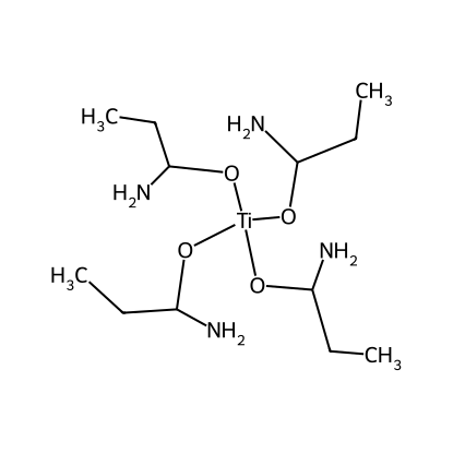 CCC(N)[O][Ti]([O]C(N)CC)([O]C(N)CC)[O]C(N)CC